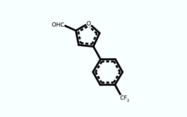 O=Cc1cc(-c2ccc(C(F)(F)F)cc2)co1